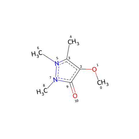 COc1c(C)n(C)n(C)c1=O